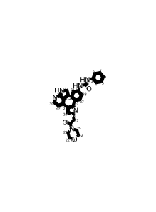 O=C(Nc1ccccc1)Nc1ccc(-c2nn(CC(=O)N3CCOCC3)cc2-c2ccnc3[nH]ccc23)cc1